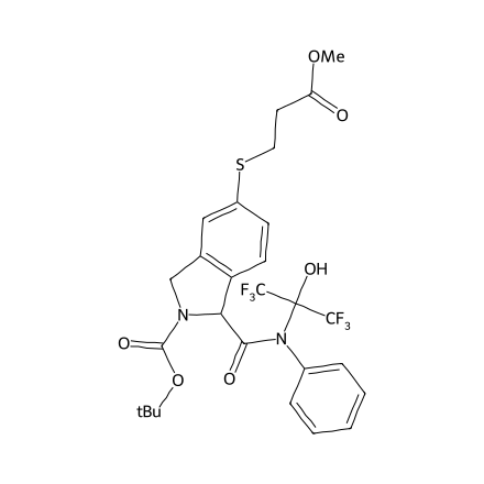 COC(=O)CCSc1ccc2c(c1)CN(C(=O)OC(C)(C)C)C2C(=O)N(c1ccccc1)C(O)(C(F)(F)F)C(F)(F)F